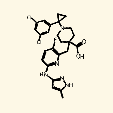 Cc1cc(Nc2ccc(F)c(CC3(C(=O)O)CCN(C4(c5cc(Cl)cc(Cl)c5)CC4)CC3)n2)n[nH]1